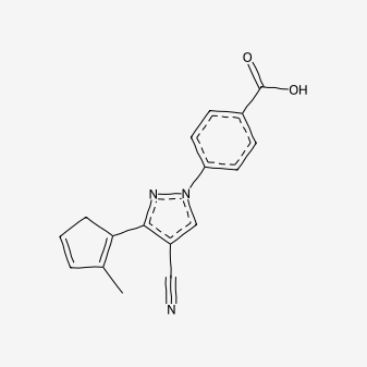 CC1=C(c2nn(-c3ccc(C(=O)O)cc3)cc2C#N)CC=C1